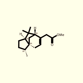 COC(=O)CC1=CC[C@@]23C[C@@H]1C(C)(C)[C@@H]2CC[C@H]3C